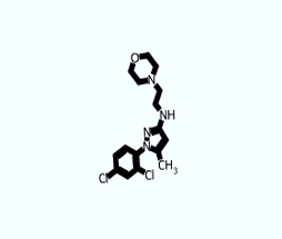 Cc1cc(NCCN2CCOCC2)nn1-c1ccc(Cl)cc1Cl